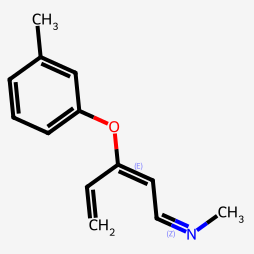 C=C/C(=C\C=N/C)Oc1cccc(C)c1